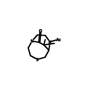 CC(=O)N1CCN2CCSCC1C(C)(C)C2=O